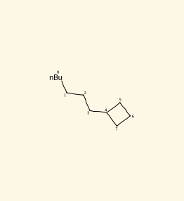 CCCCCCCC1CCC1